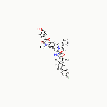 CC[C@@H](c1ccccc1)N1Cc2cc3c(cc2C[C@H]1C(=O)N[C@@H](Cc1ccc(-c2ccc(Cl)cc2)cc1)C(=O)OC)N(C)C(=O)[C@H](c1ccc(O)cc1)O3